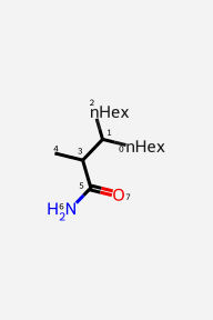 CCCCCCC(CCCCCC)C(C)C(N)=O